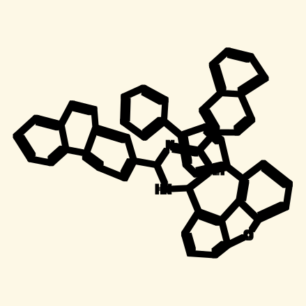 c1ccc(-c2ccc(-c3cccc4oc5cccc(C6NC(c7ccc8ccccc8c7)=NC(c7ccc8c(ccc9ccccc98)c7)N6)c5c34)cc2)cc1